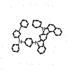 c1ccc(-c2cccc(N(c3ccccc3)c3ccc(-n4c5ccccc5c5cc6c7c8ccccc8ccc7n(-c7ccccc7)c6cc54)cc3)c2)cc1